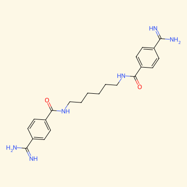 N=C(N)c1ccc(C(=O)NCCCCCCNC(=O)c2ccc(C(=N)N)cc2)cc1